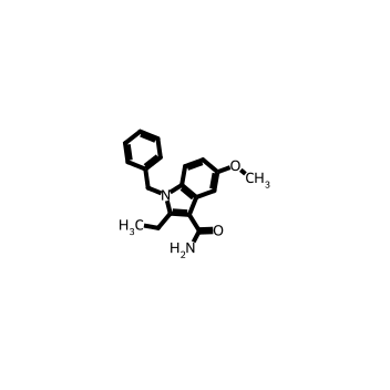 CCc1c(C(N)=O)c2cc(OC)ccc2n1Cc1ccccc1